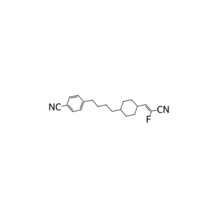 N#CC(F)=CC1CCC(CCCCc2ccc(C#N)cc2)CC1